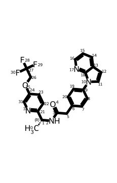 C[C@@H](NC(=O)Cc1ccc(-n2ccc3cccnc32)cc1)c1ccc(OCC(F)(F)F)cn1